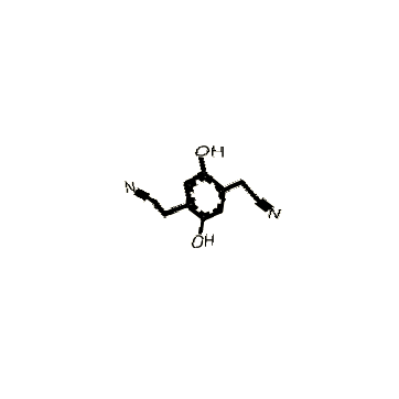 N#CCc1cc(O)c(CC#N)cc1O